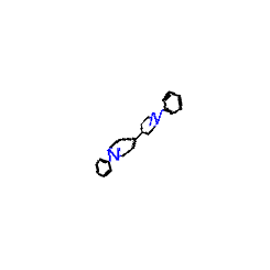 c1ccc(N2CCC(C3CCN(c4ccccc4)CC3)CC2)cc1